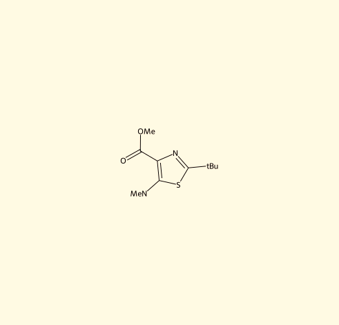 CNc1sc(C(C)(C)C)nc1C(=O)OC